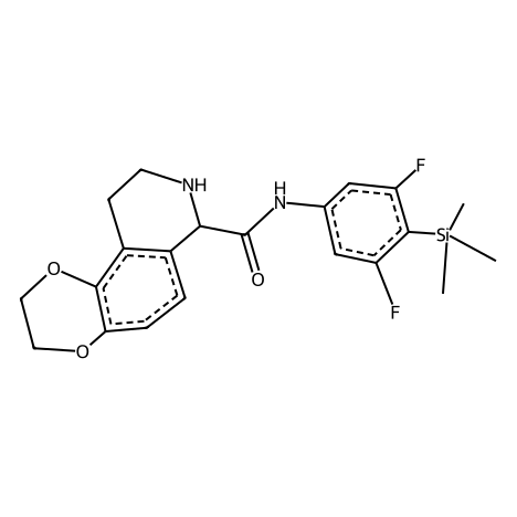 C[Si](C)(C)c1c(F)cc(NC(=O)C2NCCc3c2ccc2c3OCCO2)cc1F